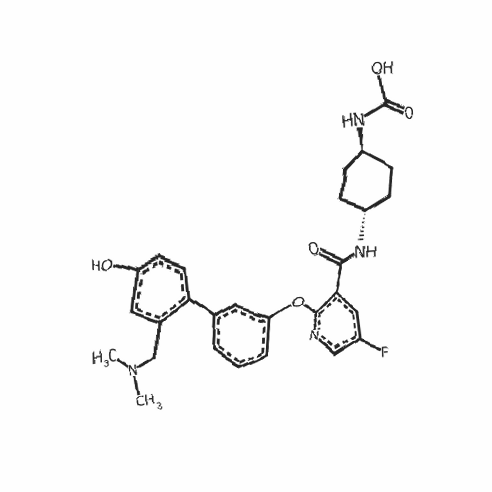 CN(C)Cc1cc(O)ccc1-c1cccc(Oc2ncc(F)cc2C(=O)N[C@H]2CC[C@H](NC(=O)O)CC2)c1